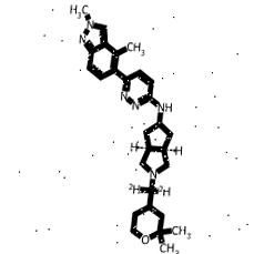 [2H]C([2H])(C1CCOC(C)(C)C1)N1C[C@H]2CC(Nc3ccc(-c4ccc5nn(C)cc5c4C)nn3)C[C@H]2C1